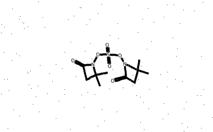 CC1(C)CC(=O)N1OS(=O)(=O)ON1C(=O)CC1(C)C